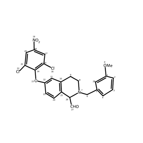 COc1cccc(CN2CCc3cc(Oc4c(Cl)cc([N+](=O)[O-])cc4Cl)ccc3C2C=O)c1